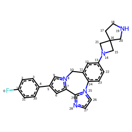 Fc1ccc(-c2cc3n(c2)Cc2cc(N4CC5(CCNC5)C4)ccc2-n2ccnc2-3)cc1